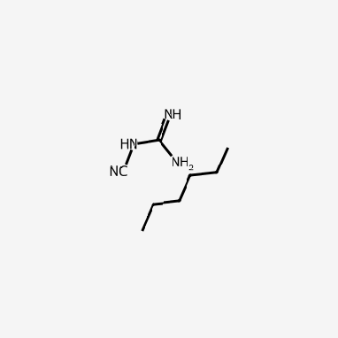 CCCCCC.N#CNC(=N)N